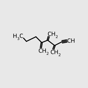 C#CC(=C)C(=C)C(=C)CCC